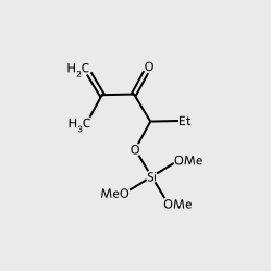 C=C(C)C(=O)C(CC)O[Si](OC)(OC)OC